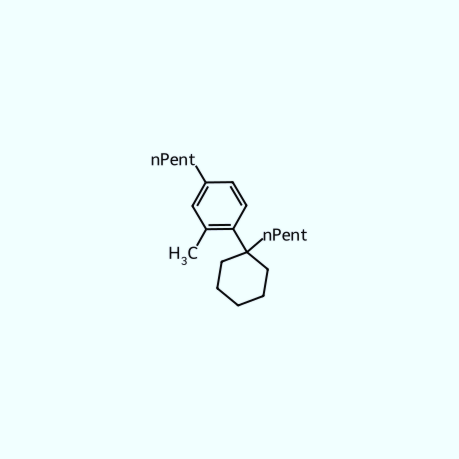 CCCCCc1ccc(C2(CCCCC)CCCCC2)c(C)c1